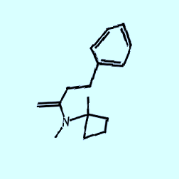 C=C(CCc1ccccc1)N(C)C1(C)CCC1